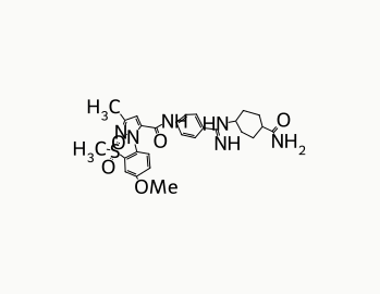 COc1ccc(-n2nc(C)cc2C(=O)Nc2ccc(C(=N)NC3CCC(C(N)=O)CC3)cc2)c(S(C)(=O)=O)c1